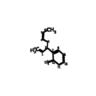 C=CC(C/C=C\C)C1=CC=CCC1I